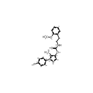 COc1ccccc1CCNC(=O)Oc1cnn(-c2ccc(F)cc2)c1C